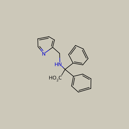 O=C(O)C(NCc1ccccn1)(c1ccccc1)c1ccccc1